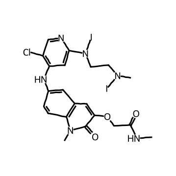 CNC(=O)COc1cc2cc(Nc3cc(N(I)CCN(C)I)ncc3Cl)ccc2n(C)c1=O